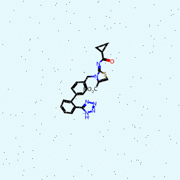 O=C(O)c1csc(=NC(=O)C2CC2)n1Cc1ccc(-c2ccccc2-c2nnn[nH]2)cc1